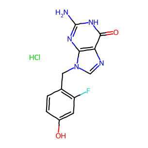 Cl.Nc1nc2c(ncn2Cc2ccc(O)cc2F)c(=O)[nH]1